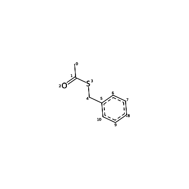 CC(=O)SCc1cc[c]cc1